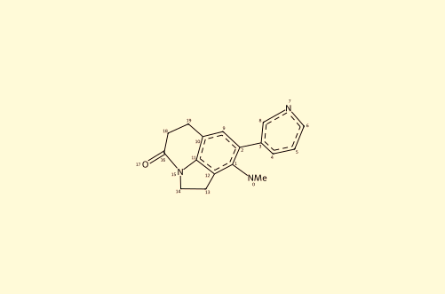 CNc1c(-c2cccnc2)cc2c3c1CCN3C(=O)CC2